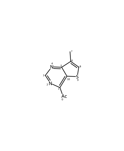 CC(=O)c1ncnc2c(C)csc12